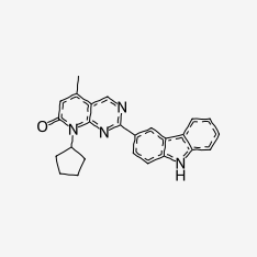 Cc1cc(=O)n(C2CCCC2)c2nc(-c3ccc4[nH]c5ccccc5c4c3)ncc12